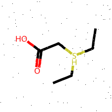 CC[SH](CC)CC(=O)O